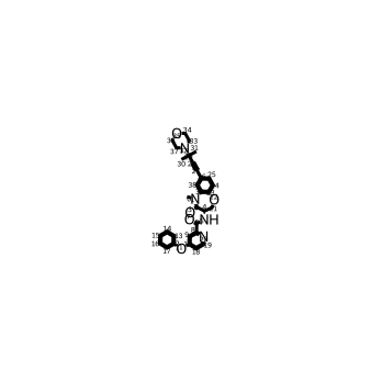 CN1C(=O)[C@@H](NC(=O)c2cc(Oc3ccccc3)ccn2)COc2ccc(C#CC(C)(C)N3CCOCC3)cc21